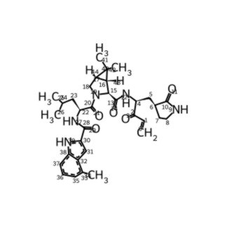 C=CC(=O)[C@H](C[C@@H]1CCNC1=O)NC(=O)[C@@H]1[C@@H]2[C@H](CN1C(=O)[C@H](CC(C)C)NC(=O)c1cc3c(C)cccc3[nH]1)C2(C)C